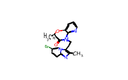 Cc1nc2ccc(Br)cn2c1CN1C(=O)[C@@H](C)Oc2cccnc21